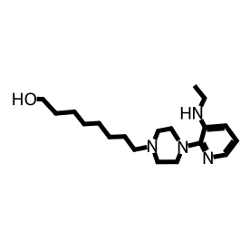 CCNc1cccnc1N1CCN(CCCCCCCCO)CC1